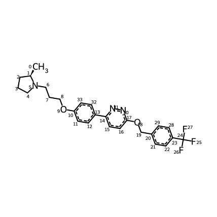 C[C@@H]1CCCN1CCCOc1ccc(-c2ccc(OCc3ccc(C(F)(F)F)cc3)nn2)cc1